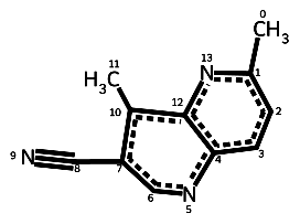 Cc1ccc2ncc(C#N)c(C)c2n1